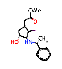 COC(=O)CC1C[C@@H](O)C(N[C@H](C)c2ccccc2)C1I